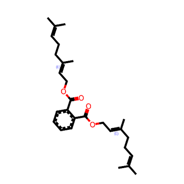 CC(C)=CCC/C(C)=C/COC(=O)c1ccccc1C(=O)OC/C=C(\C)CCC=C(C)C